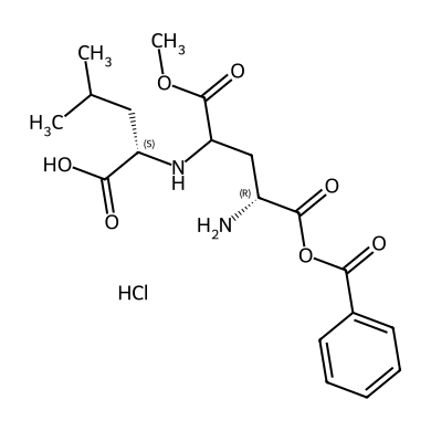 COC(=O)C(C[C@@H](N)C(=O)OC(=O)c1ccccc1)N[C@@H](CC(C)C)C(=O)O.Cl